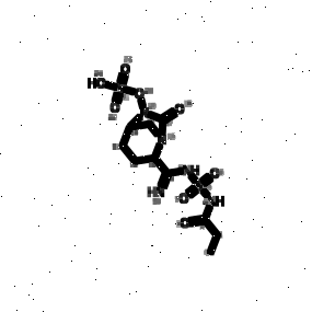 CCC(=O)NS(=O)(=O)NC(=N)C1CCC2CN1C(=O)N2OS(=O)(=O)O